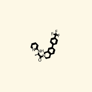 C[C@@H](Nc1ccccn1)C(=O)N1CCc2ccc(-c3ccc(C(F)(F)F)cc3)cc2C1